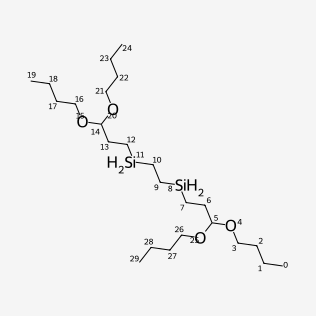 CCCCOC(CC[SiH2]CC[SiH2]CCC(OCCCC)OCCCC)OCCCC